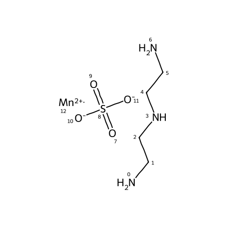 NCCNCCN.O=S(=O)([O-])[O-].[Mn+2]